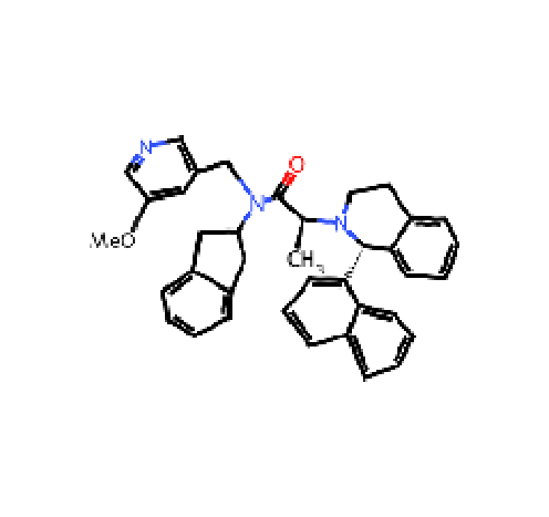 COc1cncc(CN(C(=O)[C@H](C)N2CCc3ccccc3[C@@H]2c2cccc3ccccc23)C2Cc3ccccc3C2)c1